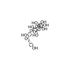 O=C(/C=C/c1ccc(O)cc1)c1ccc(O[C@@H]2O[C@H](CO)[C@@H](O[C@@H]3O[C@H](CO)[C@@H](O)[C@H](O)[C@H]3O)[C@H](O)[C@H]2O)cc1O